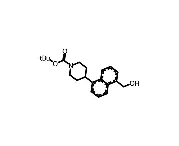 CC(C)(C)OC(=O)N1CCC(c2cccc3c(CO)cccc23)CC1